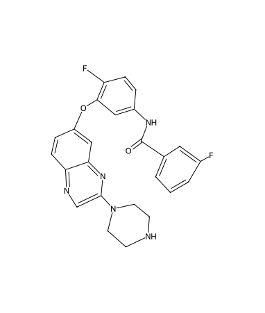 O=C(Nc1ccc(F)c(Oc2ccc3ncc(N4CCNCC4)nc3c2)c1)c1cccc(F)c1